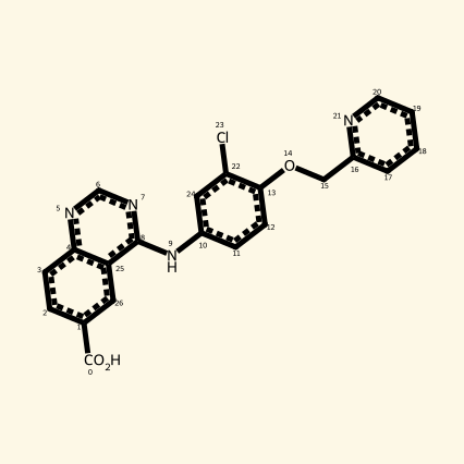 O=C(O)c1ccc2ncnc(Nc3ccc(OCc4ccccn4)c(Cl)c3)c2c1